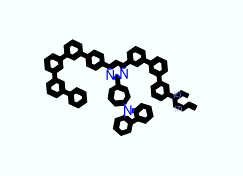 C=C/C=C\C(=C/C)c1cccc(-c2cccc(-c3cccc(-c4cc(-c5ccc(-c6cccc(-c7cccc(-c8cccc(-c9ccccc9)c8)c7)c6)cc5)nc(C5=CCC(n6c7c(c8ccccc86)CCC=C7)=CC=C5)n4)c3)c2)c1